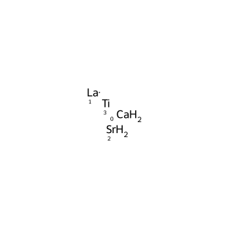 [CaH2].[La].[SrH2].[Ti]